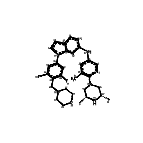 C[C@@H]1CN(c2ncc(Nc3ncc4ccn(-c5cc(F)c(CN6CCOCC6)c(F)c5)c4n3)cc2C(F)(F)F)C[C@H](C)N1